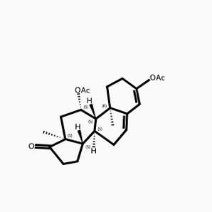 CC(=O)OC1=CC2=CC[C@@H]3[C@H]([C@@H](OC(C)=O)C[C@]4(C)C(=O)CC[C@@H]34)[C@@]2(C)CC1